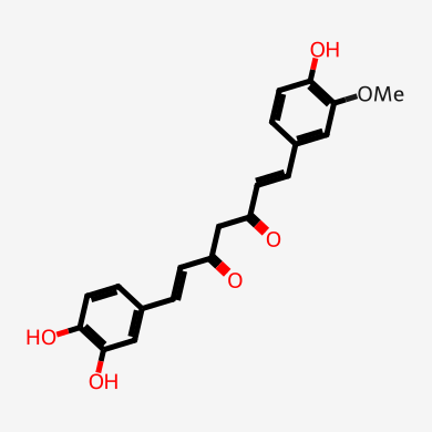 COc1cc(/C=C/C(=O)CC(=O)/C=C/c2ccc(O)c(O)c2)ccc1O